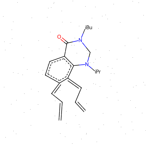 C=C/C=c1/ccc2c(/c1=C/C=C)N(C(C)C)CN(C(C)CC)C2=O